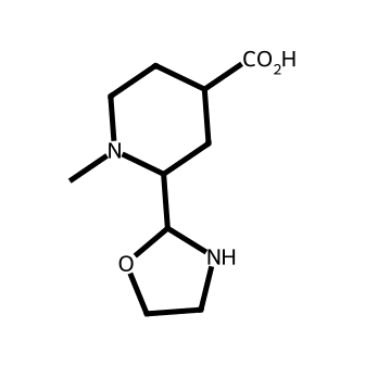 CN1CCC(C(=O)O)CC1C1NCCO1